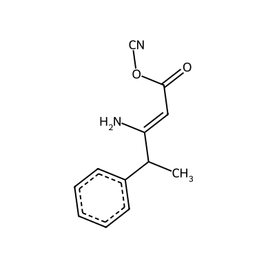 CC(C(N)=CC(=O)OC#N)c1ccccc1